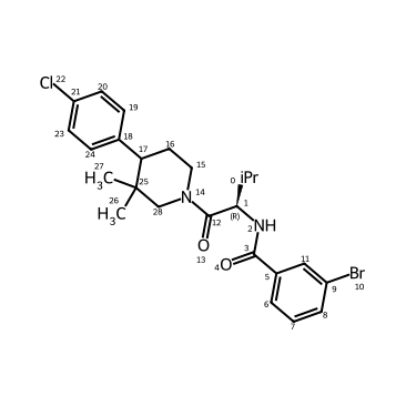 CC(C)[C@@H](NC(=O)c1cccc(Br)c1)C(=O)N1CCC(c2ccc(Cl)cc2)C(C)(C)C1